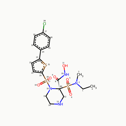 CCN(C)S(=O)(=O)[C@@]1(C(=O)NO)CNCCN1S(=O)(=O)c1ccc(-c2ccc(Cl)cc2)s1